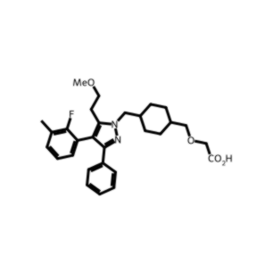 COCCc1c(-c2cccc(C)c2F)c(-c2ccccc2)nn1CC1CCC(COCC(=O)O)CC1